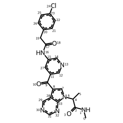 CNC(=O)C(C)n1cc(C(=O)c2cncc(NC(=O)Cc3ccc(Cl)cc3)c2)c2cncnc21